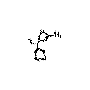 CC[C@]1(c2ccccc2)COC(N)=N1